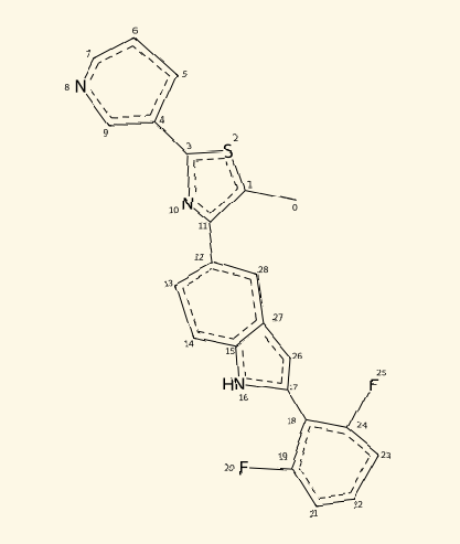 Cc1sc(-c2cccnc2)nc1-c1ccc2[nH]c(-c3c(F)cccc3F)cc2c1